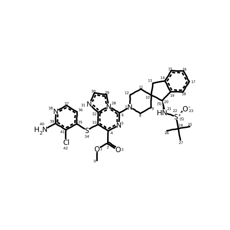 COC(=O)c1nc(N2CCC3(CC2)Cc2ccccc2[C@H]3N[S@+]([O-])C(C)(C)C)n2ccnc2c1Sc1ccnc(N)c1Cl